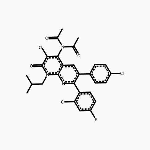 CC(=O)N(C(C)=O)c1c(Cl)c(=O)n(CC(C)C)c2nc(-c3ccc(F)cc3Cl)c(-c3ccc(Cl)cc3)cc12